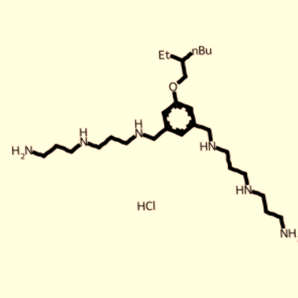 CCCCC(CC)COc1cc(CNCCCNCCCN)cc(CNCCCNCCCN)c1.Cl